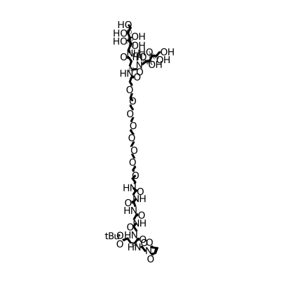 CC(C)(C)OC(=O)CC[C@H](NC(=O)CN1C(=O)C=CC1=O)C(=O)NCC(=O)NCC(=O)NCC(=O)NCC(=O)NCCOCCOCCOCCOCCOCCOCCOCCOCCC(=O)N[C@@H](CCC(=O)NC[C@H](O)[C@@H](O)[C@H](O)[C@H](O)CO)C(=O)NC[C@H](O)[C@@H](O)[C@H](O)[C@H](O)CO